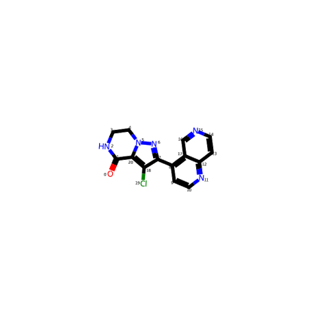 O=C1NCCn2nc(-c3ccnc4ccncc34)c(Cl)c21